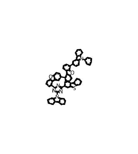 c1ccc(-n2c3ccccc3c3cc(-c4cccc5c4oc4cccc(-c6ccc7oc8cccc(-c9nc(-c%10ccc%11c(c%10)sc%10ccccc%10%11)nc(-n%10c%11ccccc%11c%11ccccc%11%10)n9)c8c7c6)c45)ccc32)cc1